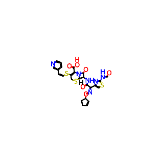 O=CNc1nc(/C(=N/OC2C=CCC2)C(=O)NC2C(=O)N3C(C(=O)O)=C(S/C=C\c4cccnc4)CS[C@H]23)cs1